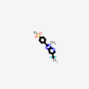 CCS(=O)(=O)c1ccc(-c2nc3cc(C(F)(F)C(F)(F)F)cnc3n2C)cc1